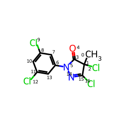 CC1(Cl)C(=O)N(c2cc(Cl)cc(Cl)c2)N=C1Cl